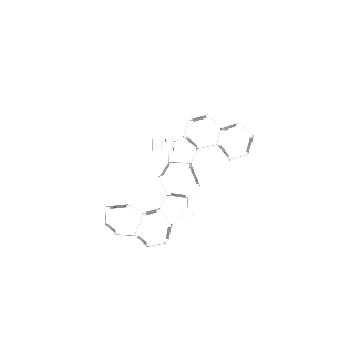 c1ccc2c(c1)ccc1[nH]c3cc4c(cc3c12)oc1ccc2ccccc2c14